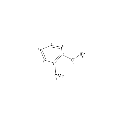 COc1[c]cccc1OC(C)C